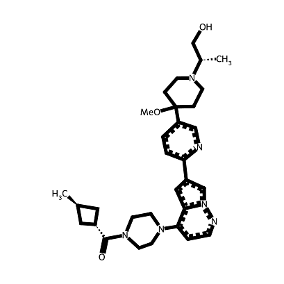 COC1(c2ccc(-c3cc4c(N5CCN(C(=O)[C@H]6C[C@H](C)C6)CC5)ccnn4c3)nc2)CCN([C@@H](C)CO)CC1